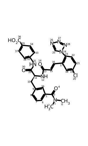 CN(C)C(=O)c1cccc(C[C@H](NC(=O)/C=C/c2cc(Cl)ccc2-n2cnnn2)C(=O)Nc2ccc(C(=O)O)cc2)c1